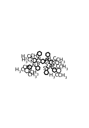 CC(C)(C)c1cc2c3c(n1)N(c1ccc4c(c1)C(C)(C)CCC4(C)C)c1ccccc1B3c1cc3c(cc1N2c1ccccc1)N(c1ccccc1)c1cc(C(C)(C)C)nc2c1[SH]3c1sc3ccccc3c1N2c1ccc2c(c1)C(C)(C)CCC2(C)C